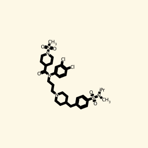 CC(C)N(C)S(=O)(=O)c1ccc(CC2CCN(CCCN(C(=O)C3CCN(S(C)(=O)=O)CC3)c3ccc(Cl)c(Cl)c3)CC2)cc1